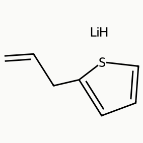 C=CCc1cccs1.[LiH]